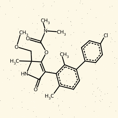 COCC1(C)NC(=O)C(c2c(C)ccc(-c3ccc(Cl)cc3)c2C)=C1OC(=O)N(C)C